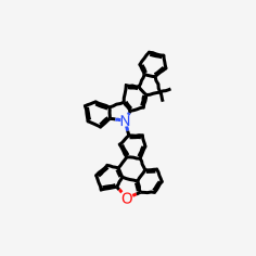 CC1(C)c2ccccc2-c2cc3c4ccccc4n(-c4ccc5c(c4)c4cccc6oc7cccc5c7c64)c3cc21